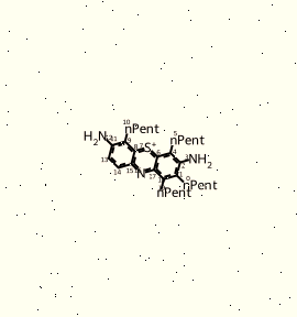 CCCCCc1c(N)c(CCCCC)c2[s+]c3c(CCCCC)c(N)ccc3nc2c1CCCCC